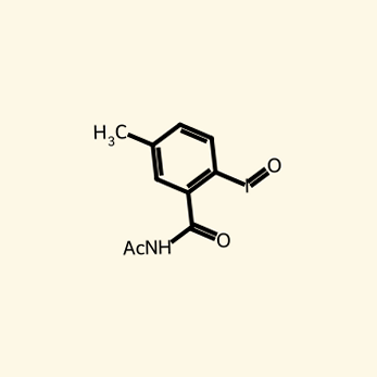 CC(=O)NC(=O)c1cc(C)ccc1I=O